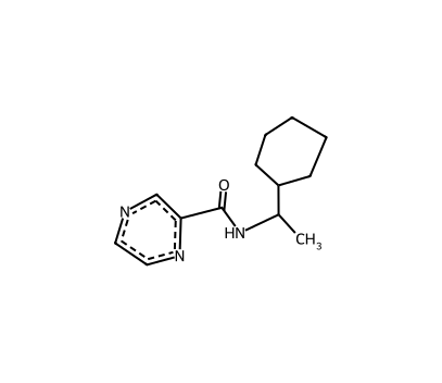 CC(NC(=O)c1cnccn1)C1CCCCC1